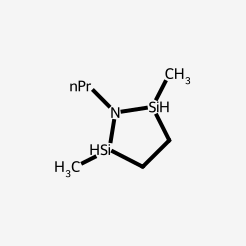 CCCN1[SiH](C)CC[SiH]1C